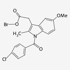 COc1ccc2c(c1)c(CC(=O)OBr)c(C)n2C(=O)c1ccc(Cl)cc1